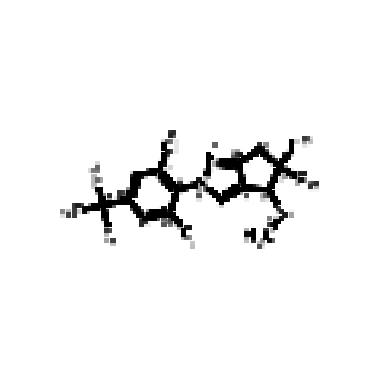 CSC1c2cn(-c3c(Cl)cc(C(F)(F)F)cc3Cl)nc2CC1(F)F